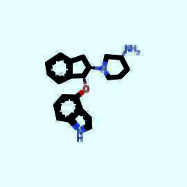 N[C@@H]1CCCN([C@@H]2Cc3ccccc3[C@H]2Oc2cccc3[nH]ccc23)C1